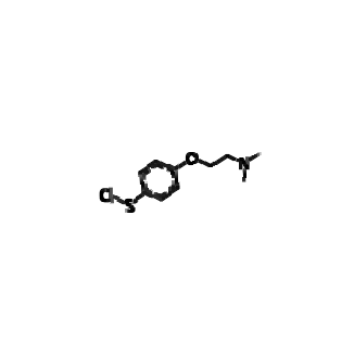 CN(C)CCOc1ccc(SCl)cc1